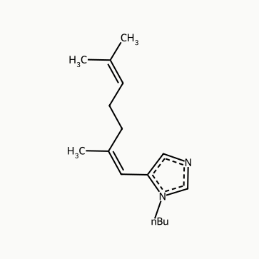 CCCCn1cncc1C=C(C)CCC=C(C)C